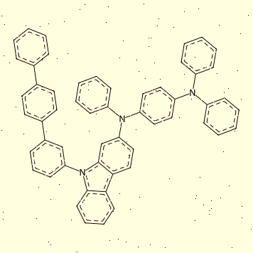 c1ccc(-c2ccc(-c3cccc(-n4c5ccccc5c5ccc(N(c6ccccc6)c6ccc(N(c7ccccc7)c7ccccc7)cc6)cc54)c3)cc2)cc1